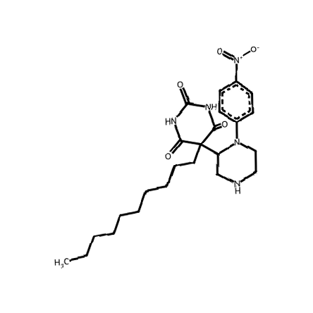 CCCCCCCCCCC1(C2CNCCN2c2ccc([N+](=O)[O-])cc2)C(=O)NC(=O)NC1=O